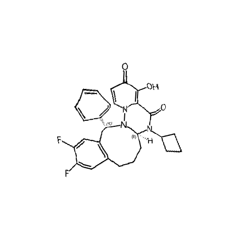 O=C1c2c(O)c(=O)ccn2N2[C@@H](c3ccccc3)c3cc(F)c(F)cc3CCC[C@@H]2N1C1CCC1